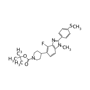 CSc1ccc(-c2nc3c(F)c(C4CCN(C(=O)OC(C)(C)C)CC4)ccc3n2C)cc1